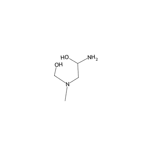 CN(CO)CC(N)O